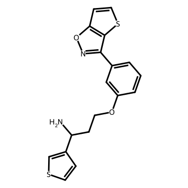 NC(CCOc1cccc(-c2noc3ccsc23)c1)c1ccsc1